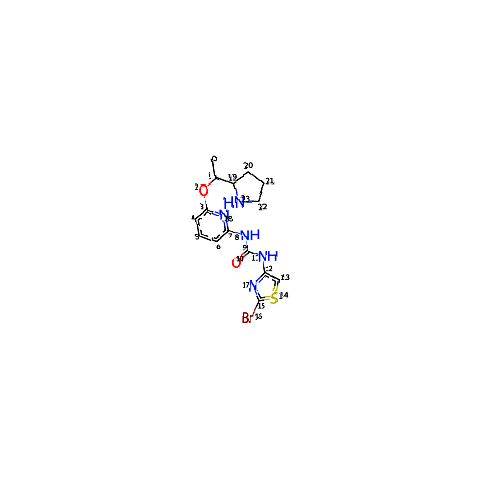 CC(Oc1cccc(NC(=O)Nc2csc(Br)n2)n1)C1CCCN1